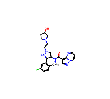 COc1ccc(Cl)cc1C1NN(CCN2CCC(O)C2)C=C1NC(=O)c1cnn2cccnc12